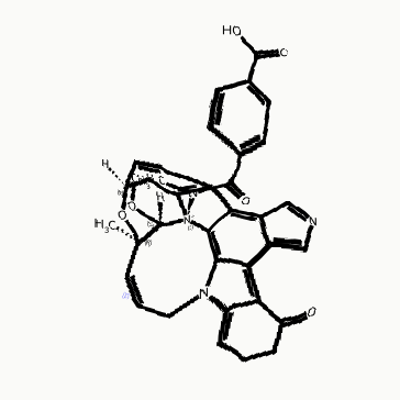 CO[C@H]1[C@@]2(C)/C=C\Cn3c4c(c5c6c(c7c(c53)[N@@+]1(N(C)C(=O)c1ccc(C(=O)O)cc1)C1=C7C=C[C@@H](C1)O2)C=NC=6)C(=O)CCC=4